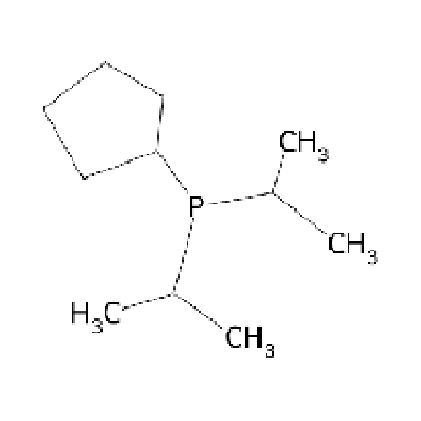 CC(C)P(C(C)C)C1CCCC1